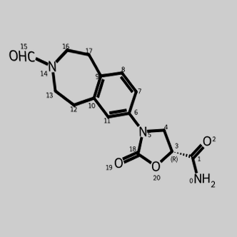 NC(=O)[C@H]1CN(c2ccc3c(c2)CCN(C=O)CC3)C(=O)O1